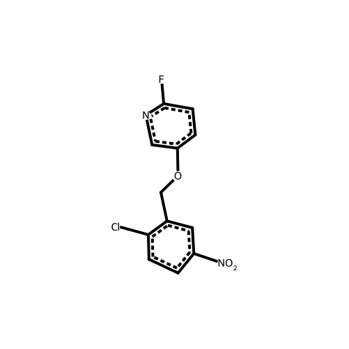 O=[N+]([O-])c1ccc(Cl)c(COc2ccc(F)nc2)c1